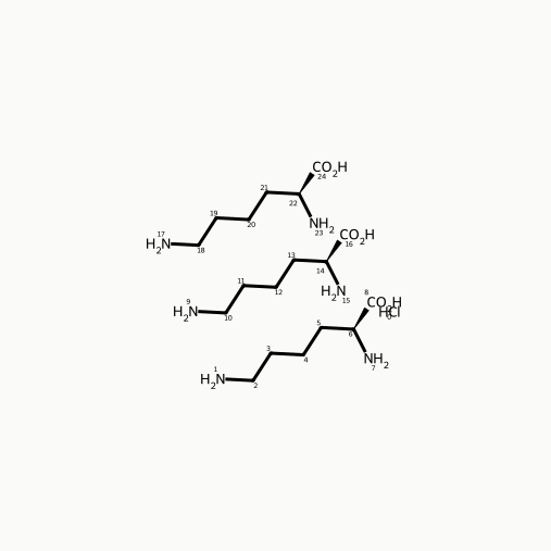 Cl.NCCCC[C@H](N)C(=O)O.NCCCC[C@H](N)C(=O)O.NCCCC[C@H](N)C(=O)O